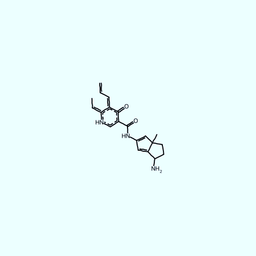 C=C/C=c1/c(=O)c(C(=O)NC2=CC3(C)CCC(N)C3=C2)c[nH]/c1=C/C